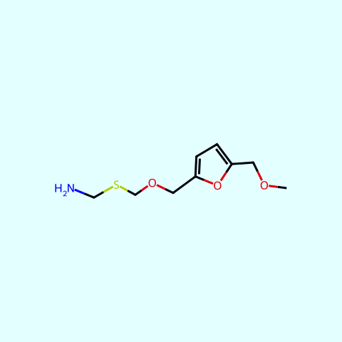 COCc1ccc(COCSCN)o1